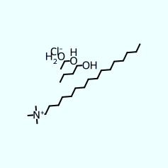 CCCCCCCCCCCCCCCC[N+](C)(C)C.CCCCO.CCO.O.[Cl-]